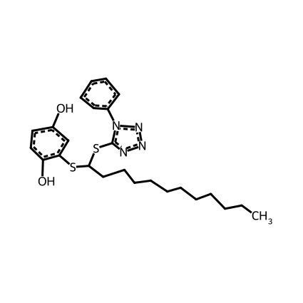 CCCCCCCCCCCC(Sc1cc(O)ccc1O)Sc1nnnn1-c1ccccc1